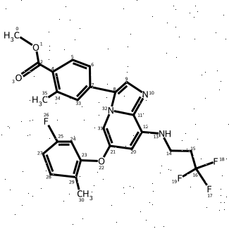 COC(=O)c1ccc(-c2cnc3c(NCCC(F)(F)F)cc(Oc4cc(F)ccc4C)cn23)cc1C